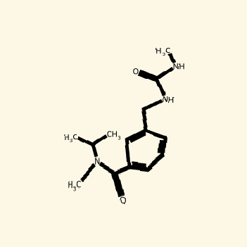 CNC(=O)NCc1cccc(C(=O)N(C)C(C)C)c1